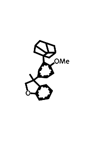 COc1ccc(C2(C)COc3ccccc32)cc1C12CC3CC(CC(C3)C1)C2